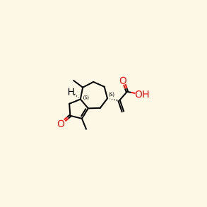 C=C(C(=O)O)[C@H]1CCC(C)[C@@H]2CC(=O)C(C)=C2C1